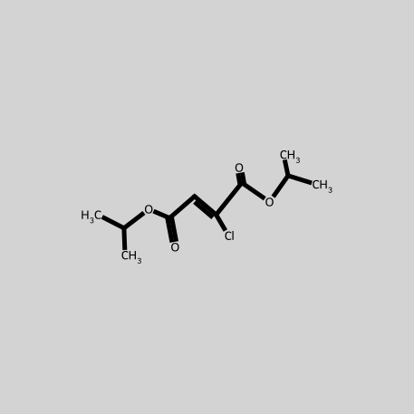 CC(C)OC(=O)/C=C(\Cl)C(=O)OC(C)C